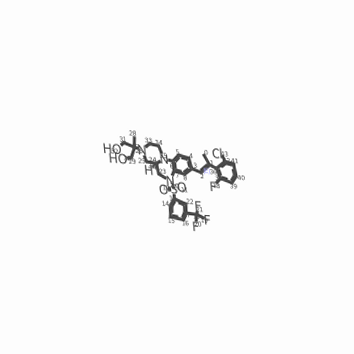 C/C(=C\c1ccc2c(c1)N(S(=O)(=O)c1cccc(C(F)(F)F)c1)C[C@@H]1CN(C(C)(CO)CO)CCN21)c1c(F)cccc1Cl